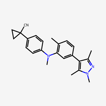 Cc1ccc(-c2c(C)nn(C)c2C)cc1N(C)c1ccc(C2(C#N)CC2)cc1